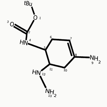 CC(C)(C)OC(=O)NC1CC=C(N)CC1NN